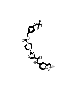 O=C(NC1=CC2=CNSN2C=C1)c1csc(N2CCN(C(=O)OCc3ccc(SC(F)(F)F)cc3)CC2)n1